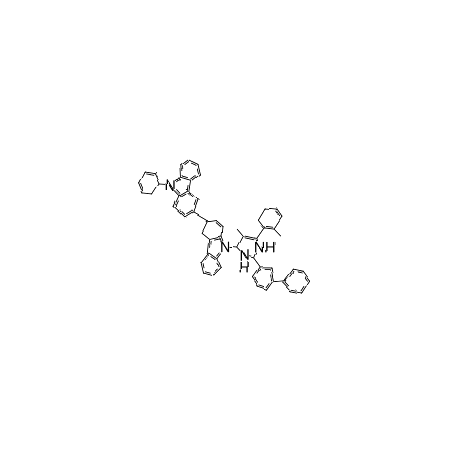 CC1=C(C2=C(C)C(n3c4c(c5ccccc53)CC(c3ccc5c(c3)c3ccccc3n5C3C=CC=CC3)C=C4)NC(c3cccc(-c4ccccc4)c3)N2)CCC=C1